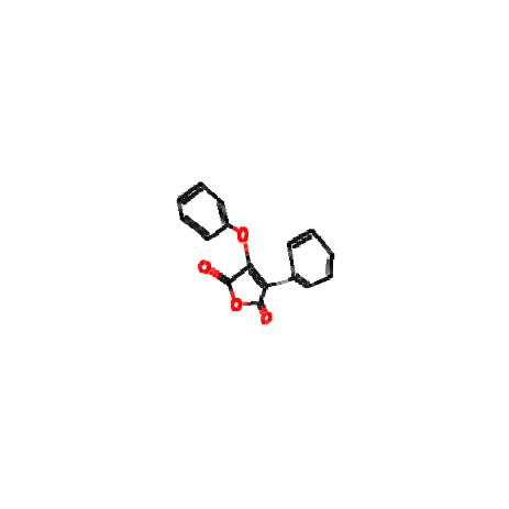 O=C1OC(=O)C(c2ccccc2)=C1Oc1ccccc1